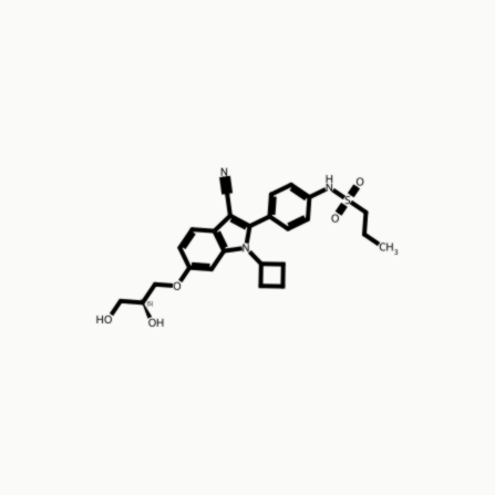 CCCS(=O)(=O)Nc1ccc(-c2c(C#N)c3ccc(OC[C@@H](O)CO)cc3n2C2CCC2)cc1